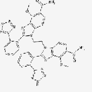 COc1c(C(N)=O)ccc2c1nc(-c1ccccc1-c1nn[nH]n1)n2CCn1c(-c2ccccc2-c2nn[nH]n2)nc2c(OC)c(C(N)=O)ccc21